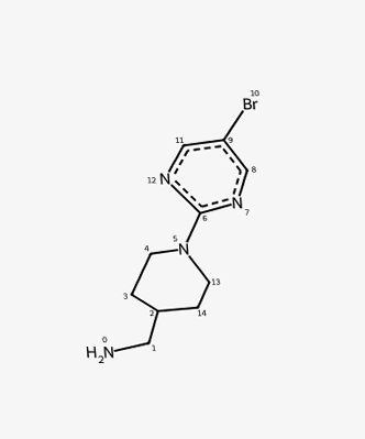 NCC1CCN(c2ncc(Br)cn2)CC1